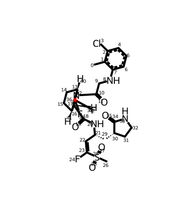 Cc1c(Cl)cccc1NCC(=O)N1[C@H]2CC[C@@H]([C@H]1C(=O)N[C@@H](/C=C(/F)S(C)(=O)=O)C[C@H]1CCNC1=O)C(F)(F)C2